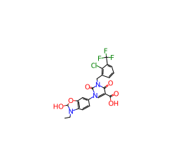 CCN1c2ccc(-n3cc(C(=O)O)c(=O)n(Cc4cccc(C(F)(F)F)c4Cl)c3=O)cc2OC1O